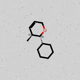 C[C@H]1C=CCO[C@@H]1C1CCCCC1